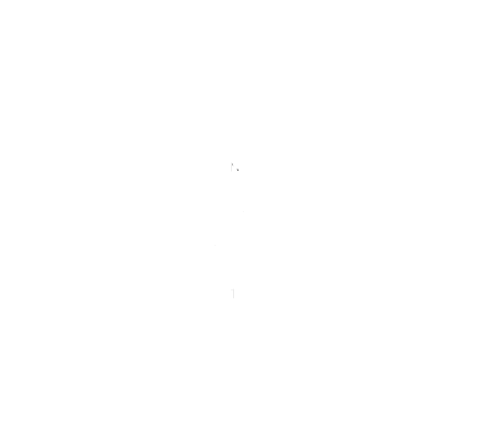 ClC1=CC=C(c2ccccn2)CC1